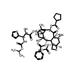 CC(=O)O[C@@]12CO[C@@H]1C[C@H](O)[C@@]1(C)C(=O)[C@H](OC(=O)C3CCCC3)C3=C(C)[C@@H](OC(=O)[C@H](O)[C@@H](NC(=O)OC(C)C)c4cccs4)C[C@@](O)([C@@H](OC(=O)c4ccccc4)C12)C3(C)C